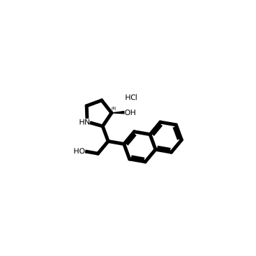 Cl.OCC(c1ccc2ccccc2c1)C1NCC[C@H]1O